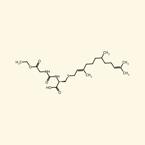 CCOC(=O)CNC(=O)N[C@@H](CSC/C=C(\C)CCCC(C)CCC=C(C)C)C(=O)O